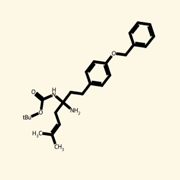 CC(C)=CCC(N)(CCc1ccc(OCc2ccccc2)cc1)NC(=O)OC(C)(C)C